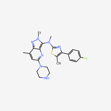 CCn1nc2c(C)cc(N3CCNCC3)nc2c1N(C)c1nc(-c2ccc(F)cc2)c(C#N)s1